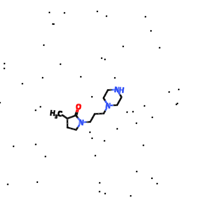 CC1CCN(CCCN2CCNCC2)C1=O